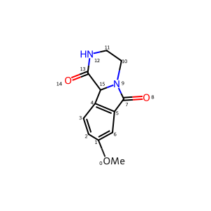 COc1ccc2c(c1)C(=O)N1CCNC(=O)C21